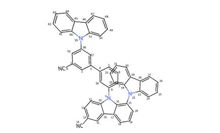 N#Cc1cc(-c2cccc(-n3c4ccc(C#N)cc4c4cccc(-n5c6ccccc6c6ccccc65)c43)c2)cc(-n2c3ccccc3c3ccccc32)c1